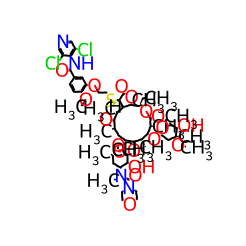 CC[C@H]1OC(=O)[C@H](C)[C@@H](O[C@H]2C[C@@](C)(OC)[C@@H](O)[C@H](C)O2)[C@H](C)[C@@H](O[C@@H]2O[C@H](C)C[C@H](N(C)C(=O)N3CCOCC3)[C@H]2O)[C@](C)(OC)C[C@@H](C)C(=O)[C@H](C)[C@H]2C(SCCOc3cc(C(=O)Nc4c(Cl)cncc4Cl)ccc3OC)C(=O)O[C@@]21C